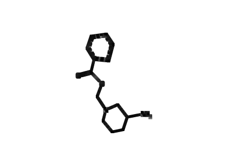 NC1CCCN(COC(=O)c2ccccc2)C1